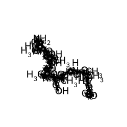 COc1c(O)c2c(c3cc(C(=O)N4CCc5c4c(O)c(OC)c4[nH]c(C(=O)N6CCC7C6=CC(OC(=O)N(CCOCCO)CCN(C)C(=O)OCc6ccc(NC(=O)CNC(=O)[C@@H](NC(=O)OCCOCCN8C(=O)C=CC8=O)C(C)C)cc6)c6[nH]cc(C)c67)cc54)[nH]c13)CCN2C(N)=O